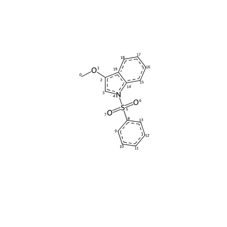 COc1cn(S(=O)(=O)c2ccccc2)c2ccccc12